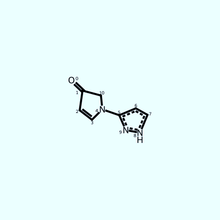 O=C1C=CN(c2cc[nH]n2)C1